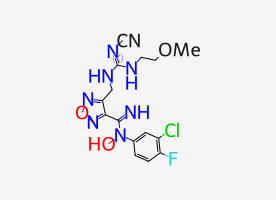 COCCN/C(=N\C#N)NCc1nonc1C(=N)N(O)c1ccc(F)c(Cl)c1